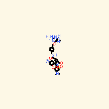 CN(C)c1ccc2c(c1)Oc1cc(N(C)C)ccc1C21c2cc(C(=O)NCc3ccc(COc4nc(N)nc5[nH]cnc45)cc3)ccc2C(=O)N1S(C)(=O)=O